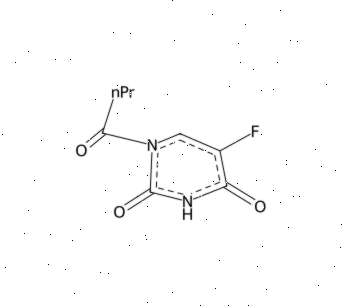 CCCC(=O)n1cc(F)c(=O)[nH]c1=O